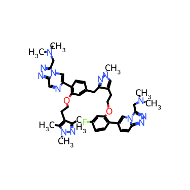 Cc1nn(C)c(C)c1CCOc1cc(Cc2nn(C)cc2CCOc2cc(F)ccc2-c2ccc3nnc(CN(C)C)n3c2)ccc1-c1cn2c(CN(C)C)nnc2cn1